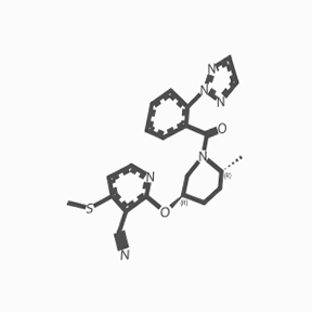 CSc1ccnc(O[C@@H]2CC[C@@H](C)N(C(=O)c3ccccc3-n3nccn3)C2)c1C#N